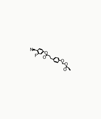 C=CC(=O)OCOc1ccc(CCC(=O)Oc2ccc(C#N)c(F)c2)cc1